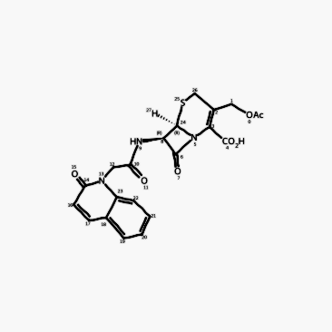 CC(=O)OCC1=C(C(=O)O)N2C(=O)[C@@H](NC(=O)Cn3c(=O)ccc4ccccc43)[C@H]2SC1